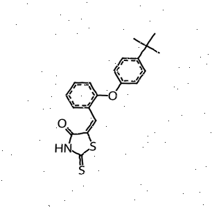 CC(C)(C)c1ccc(Oc2ccccc2C=C2SC(=S)NC2=O)cc1